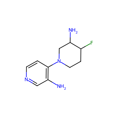 Nc1cnccc1N1CCC(F)C(N)C1